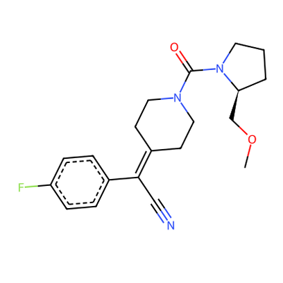 COC[C@@H]1CCCN1C(=O)N1CCC(=C(C#N)c2ccc(F)cc2)CC1